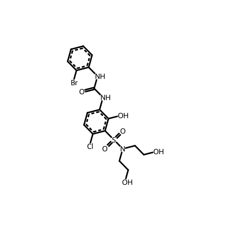 O=C(Nc1ccccc1Br)Nc1ccc(Cl)c(S(=O)(=O)N(CCO)CCO)c1O